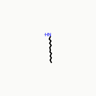 CCCCCCCCCCCCC[NH]